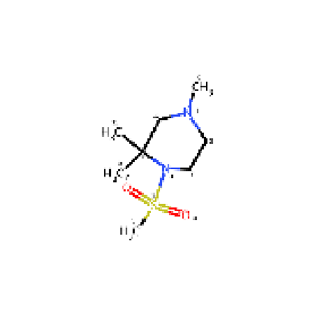 CN1CCN(S(C)(=O)=O)C(C)(C)C1